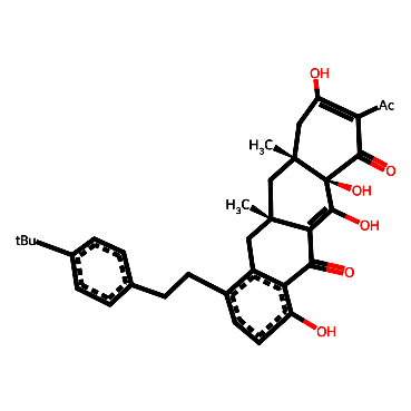 CC(=O)C1=C(O)C[C@@]2(C)C[C@@]3(C)Cc4c(CCc5ccc(C(C)(C)C)cc5)ccc(O)c4C(=O)C3=C(O)[C@@]2(O)C1=O